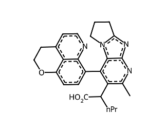 CCCC(C(=O)O)c1c(C)nc2nc3n(c2c1-c1ccc2c4c(ccnc14)CCO2)CCC3